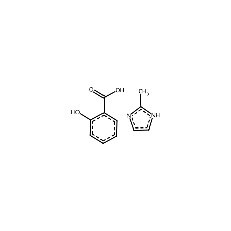 Cc1ncc[nH]1.O=C(O)c1ccccc1O